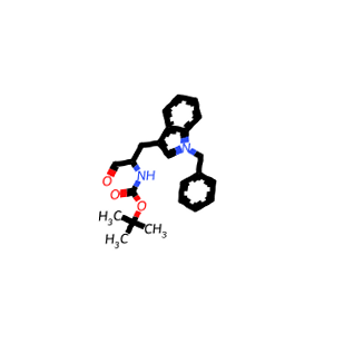 CC(C)(C)OC(=O)NC(C=O)Cc1cn(Cc2ccccc2)c2ccccc12